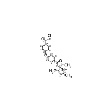 CCC(CC)(CC(=O)c1ccc(Oc2ccc(C(=O)CCl)cc2)cc1)NC(C)=O